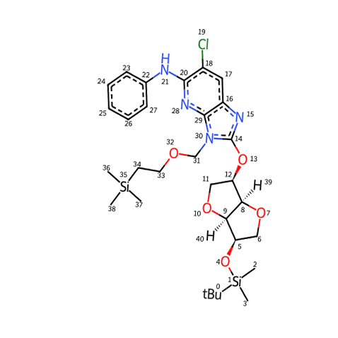 CC(C)(C)[Si](C)(C)O[C@@H]1CO[C@H]2[C@@H]1OC[C@H]2Oc1nc2cc(Cl)c(Nc3ccccc3)nc2n1COCC[Si](C)(C)C